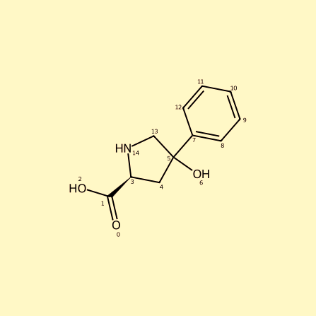 O=C(O)[C@@H]1CC(O)(c2ccccc2)CN1